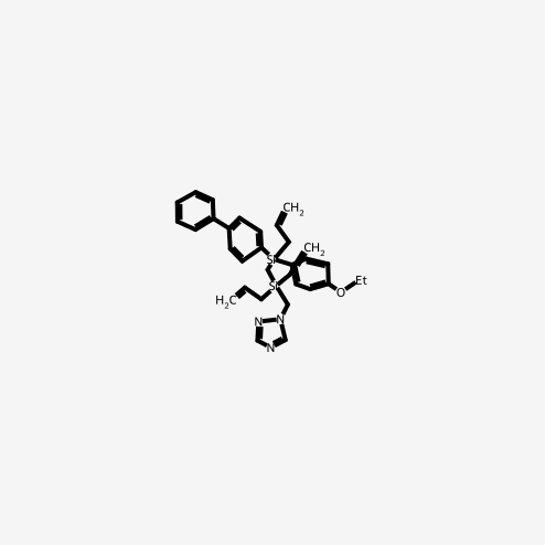 C=CC[Si](CC=C)(Cn1cncn1)C[Si](CC=C)(c1ccc(OCC)cc1)c1ccc(-c2ccccc2)cc1